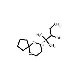 CCC(O)C(C)(C)[C@@H]1CCOC2(CCCC2)O1